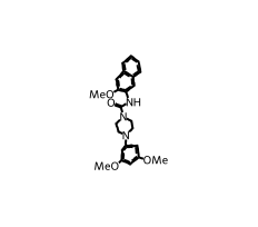 COc1cc(OC)cc(N2CCN(C(=O)Nc3cc4ccccc4cc3OC)CC2)c1